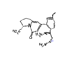 Cc1ccc(N(N)/C=N\N)c(-c2cc3n(c(=O)c2)C(C(=O)O)CC3)c1